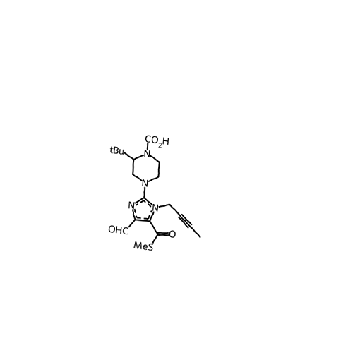 CC#CCn1c(N2CCN(C(=O)O)C(C(C)(C)C)C2)nc(C=O)c1C(=O)SC